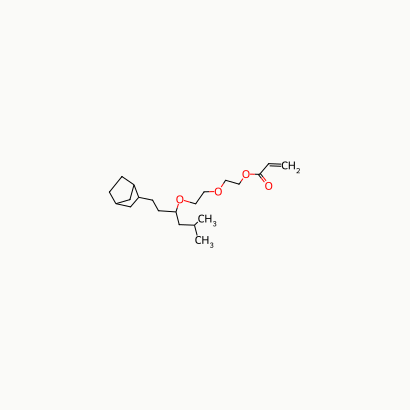 C=CC(=O)OCCOCCOC(CCC1CC2CCC1C2)CC(C)C